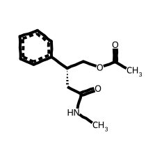 CNC(=O)C[C@@H](COC(C)=O)c1ccccc1